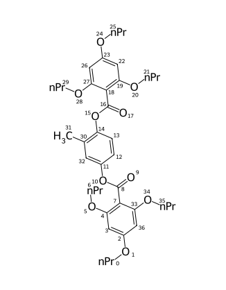 CCCOc1cc(OCCC)c(C(=O)Oc2ccc(OC(=O)c3c(OCCC)cc(OCCC)cc3OCCC)c(C)c2)c(OCCC)c1